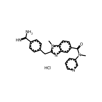 CN(C(=O)c1ccc2c(c1)nc(Cc1ccc(C(=N)N)cc1)n2C)c1cccnc1.Cl